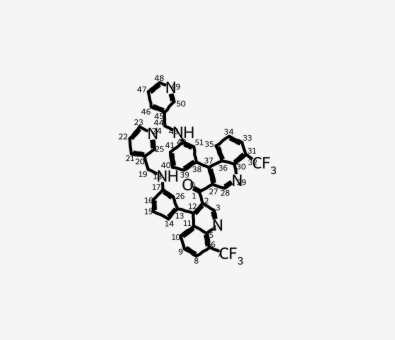 O=C(c1cnc2c(C(F)(F)F)cccc2c1-c1cccc(NCc2cccnc2)c1)c1cnc2c(C(F)(F)F)cccc2c1-c1cccc(NCc2cccnc2)c1